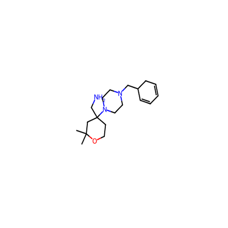 CC1(C)CC(CN)(N2CCN(CC3C=CC=CC3)CC2)CCO1